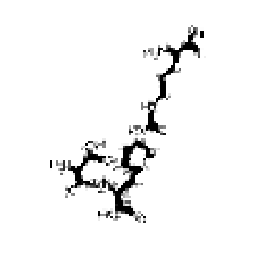 CC(C)C(N)C(=O)O.NC(=O)NCCCC(N)C(=O)O.NC(Cc1ccccc1)C(=O)O